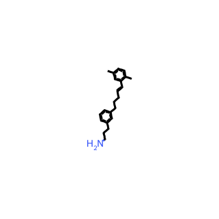 Cc1ccc(C)c(/C=C/CCCc2cccc(CCCN)c2)c1